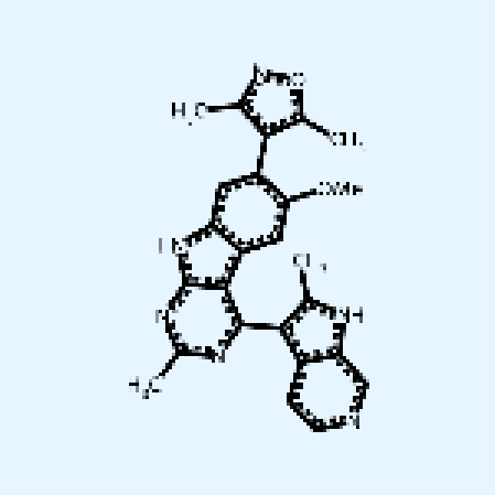 COc1cc2c(cc1-c1c(C)noc1C)[nH]c1nc(C)nc(-c3c(C)[nH]c4cnccc34)c12